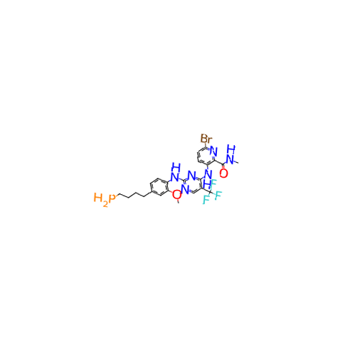 CNC(=O)c1nc(Br)ccc1Nc1nc(Nc2ccc(CCCCP)cc2OC)ncc1C(F)(F)F